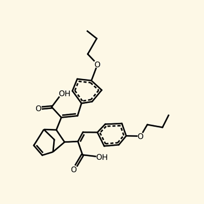 CCCOc1ccc(C=C(C(=O)O)C2C3C=CC(C3)C2C(=Cc2ccc(OCCC)cc2)C(=O)O)cc1